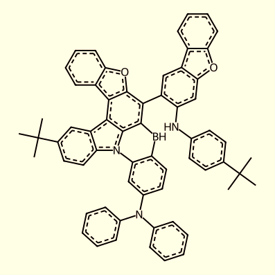 CC(C)(C)c1ccc(Nc2cc3oc4ccccc4c3cc2-c2c3c4c(c5cc(C(C)(C)C)ccc5n4-c4cc(N(c5ccccc5)c5ccccc5)ccc4B3)c3c2oc2ccccc23)cc1